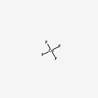 [F][Co]([F])([F])[F]